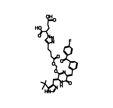 CC(C)(C)c1[nH]cnc1/C=c1\[nH]c(=O)/c(=C/c2cccc(C(=O)c3ccc(F)cc3)c2)nc1OCOC(=O)CCCc1cn(C(CCC(=O)O)C(=O)O)nn1